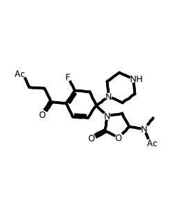 CC(=O)CCC(=O)C1=C(F)CC(N2CCNCC2)(N2CC(N(C)C(C)=O)OC2=O)C=C1